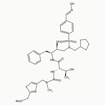 COCc1nc(CN(C)C(=O)N[C@H](C(=O)N[C@@H](Cc2ccccc2)[C@@H](O)CN(CC2CCCC2)S(=O)(=O)c2ccc(C=NO)cc2)[C@H](C)O)cs1